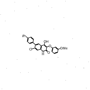 COc1cccc(Oc2c(O)c3cc(-c4ccc(C(C)C)cc4)c(Cl)cc3[nH]c2=O)c1